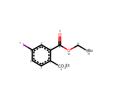 CCOC(=O)c1ccc(I)cc1C(=O)OCC(C)(C)C